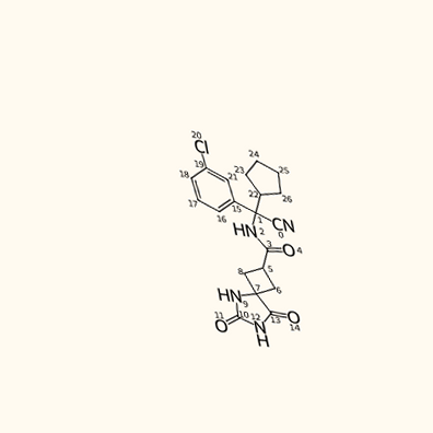 N#CC(NC(=O)C1CC2(C1)NC(=O)NC2=O)(c1cccc(Cl)c1)C1CCCC1